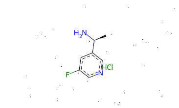 C[C@H](N)c1cncc(F)c1.Cl